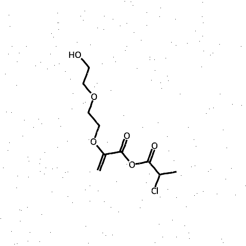 C=C(OCCOCCO)C(=O)OC(=O)C(C)Cl